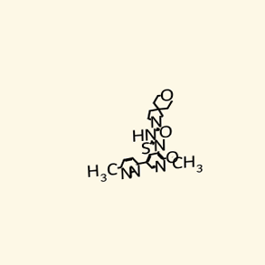 COc1ncc(-c2ccc(C)nn2)c2sc(NC(=O)N3CCC4(CCOCC4)C3)nc12